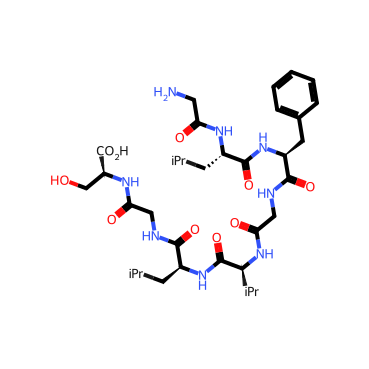 CC(C)C[C@H](NC(=O)CN)C(=O)N[C@@H](Cc1ccccc1)C(=O)NCC(=O)N[C@H](C(=O)N[C@@H](CC(C)C)C(=O)NCC(=O)N[C@@H](CO)C(=O)O)C(C)C